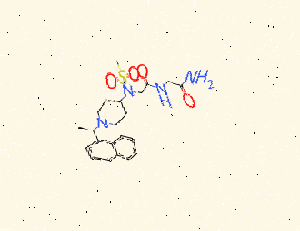 C[C@H](c1cccc2ccccc12)N1CCC(N(CC(=O)NCC(N)=O)S(C)(=O)=O)CC1